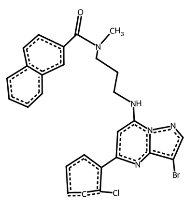 CN(CCCNc1cc(-c2ccccc2Cl)nc2c(Br)cnn12)C(=O)c1ccc2ccccc2c1